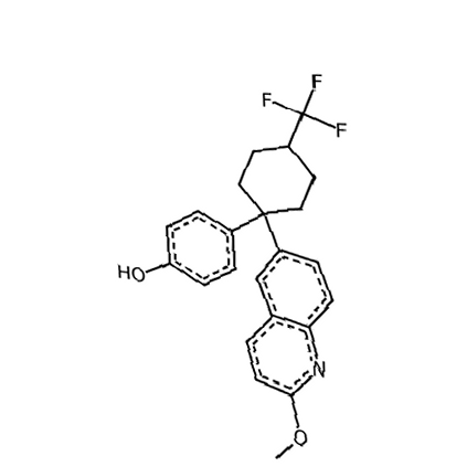 COc1ccc2cc(C3(c4ccc(O)cc4)CCC(C(F)(F)F)CC3)ccc2n1